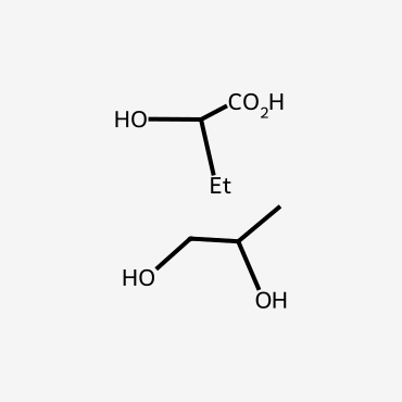 CC(O)CO.CCC(O)C(=O)O